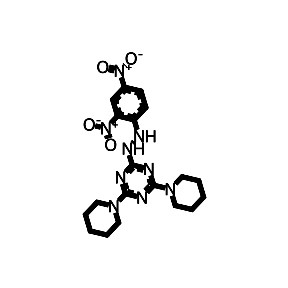 O=[N+]([O-])c1ccc(NNc2nc(N3CCCCC3)nc(N3CCCCC3)n2)c([N+](=O)[O-])c1